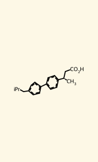 CC(C)Cc1ccc(-c2ccc([C@H](C)CC(=O)O)cc2)cc1